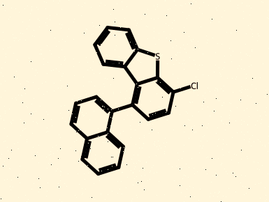 Clc1ccc(-c2cccc3ccccc23)c2c1sc1ccccc12